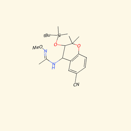 CON=C(C)NC1c2cc(C#N)ccc2OC(C)(C)C1O[Si](C)(C)C(C)(C)C